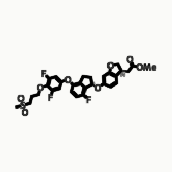 COC(=O)C[C@@H]1COc2cc(O[C@@H]3CCc4c(Oc5cc(F)c(OCCCS(C)(=O)=O)c(F)c5)ccc(F)c43)ccc21